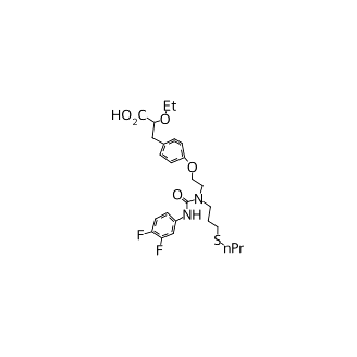 CCCSCCCN(CCOc1ccc(CC(OCC)C(=O)O)cc1)C(=O)Nc1ccc(F)c(F)c1